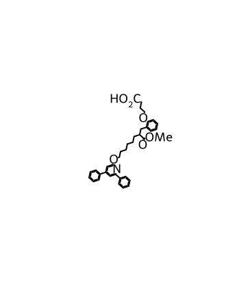 COC(=O)C(CCCCCCOc1cc(-c2ccccc2)cc(-c2ccccc2)n1)Cc1ccccc1OCCCC(=O)O